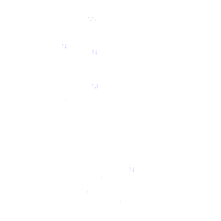 CSc1nsc(NC(=O)c2cc(C3CCCN3C(=O)OC(C)(C)C)sc2C)n1